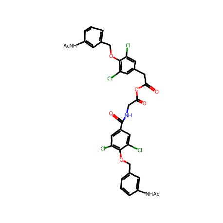 CC(=O)Nc1cccc(COc2c(Cl)cc(CC(=O)OC(=O)CNC(=O)c3cc(Cl)c(OCc4cccc(NC(C)=O)c4)c(Cl)c3)cc2Cl)c1